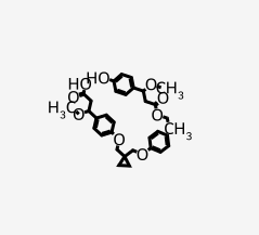 CCOC(=O)CC(OC)c1ccc(O)cc1.COC(CC(=O)O)c1ccc(OCC2(COc3ccccc3)CC2)cc1